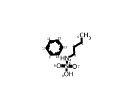 CCCCNS(=O)(=O)O.c1ccccc1